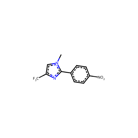 Cn1cc(C(F)(F)F)nc1-c1ccc([N+](=O)[O-])cc1